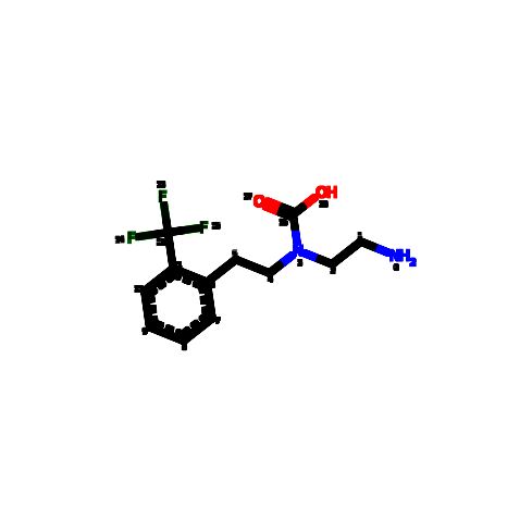 NCCN(CCc1ccccc1C(F)(F)F)C(=O)O